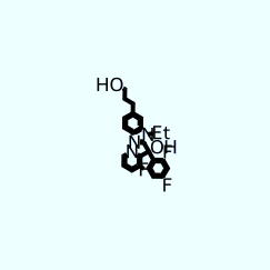 CCn1c(C(O)(c2ccc(F)cc2F)c2ncccc2F)nc2ccc(CCCO)cc21